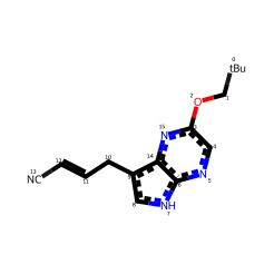 CC(C)(C)COc1cnc2[nH]cc(CC=CC#N)c2n1